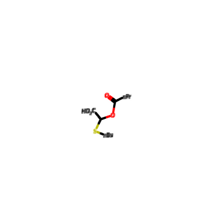 CCCCSC(OC(=O)CCC)C(=O)O